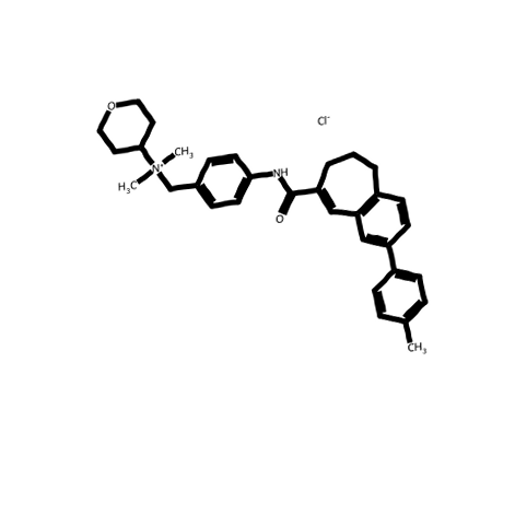 Cc1ccc(-c2ccc3c(c2)C=C(C(=O)Nc2ccc(C[N+](C)(C)C4CCOCC4)cc2)CCC3)cc1.[Cl-]